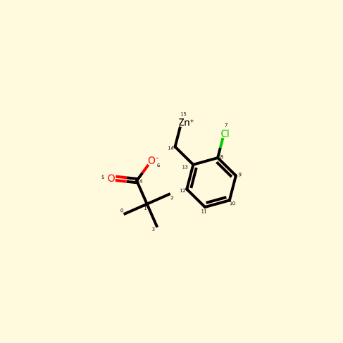 CC(C)(C)C(=O)[O-].Clc1ccccc1[CH2][Zn+]